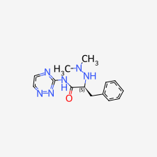 CN(C)N[C@@H](Cc1ccccc1)C(=O)Nc1nccnn1